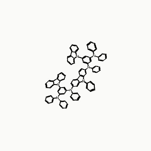 c1ccc(N(c2ccccc2)c2cc(N(c3ccccc3)c3ccc4c5ccc(N(c6ccccc6)c6cc(N(c7ccccc7)c7ccccc7)cc(-n7c8ccccc8c8ccccc87)c6)cc5n(-c5ccccc5)c4c3)cc(-n3c4ccccc4c4ccccc43)c2)cc1